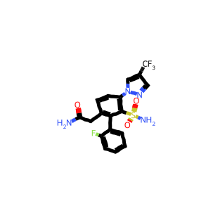 NC(=O)Cc1ccc(-n2cc(C(F)(F)F)cn2)c(S(N)(=O)=O)c1-c1ccccc1F